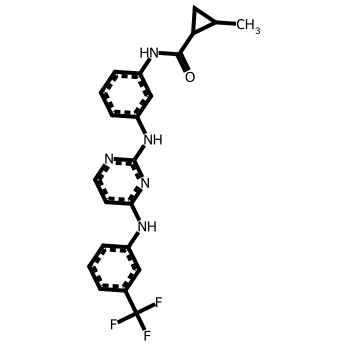 CC1CC1C(=O)Nc1cccc(Nc2nccc(Nc3cccc(C(F)(F)F)c3)n2)c1